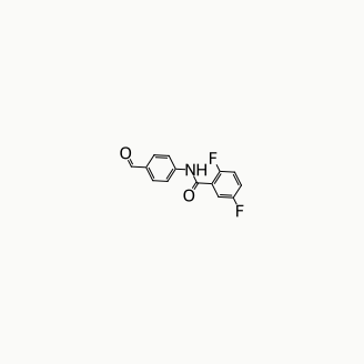 O=Cc1ccc(NC(=O)c2cc(F)ccc2F)cc1